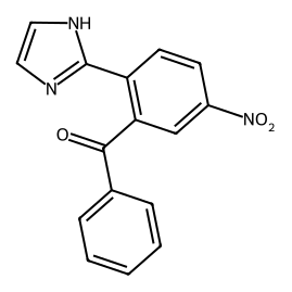 O=C(c1ccccc1)c1cc([N+](=O)[O-])ccc1-c1ncc[nH]1